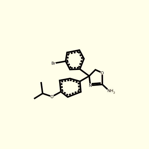 CC(C)Oc1ccc(C2(c3cccc(Br)c3)COC(N)=N2)cc1